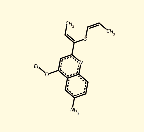 C/C=C\S/C(=C\C)c1cc(OCC)c2cc(N)ccc2n1